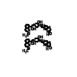 COc1ccc2cccc(C(O)CN3CC[C@@H](NCc4ccc5c(n4)NC(=O)CS5)[C@H](O)C3)c2n1.COc1ccc2cccc(C(O)CN3CC[C@H](NCc4ccc5c(n4)NC(=O)CS5)[C@@H](O)C3)c2n1